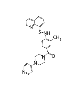 Cc1cc(C(=O)N2CCN(c3ccncc3)CC2)ccc1NSc1cccc2cccnc12